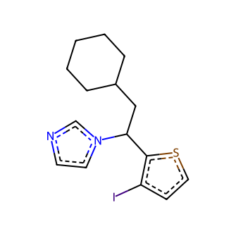 Ic1ccsc1C(CC1CCCCC1)n1ccnc1